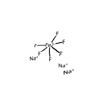 [F][Fe-3]([F])([F])([F])([F])[F].[Na+].[Na+].[Na+]